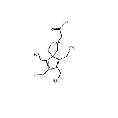 CCC1=C(CC)C(CC)(CNCC(=O)O)C(CC)=C1CC